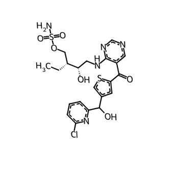 CC[C@H](COS(N)(=O)=O)[C@@H](O)CNc1ncncc1C(=O)c1cc(C(O)c2cccc(Cl)n2)cs1